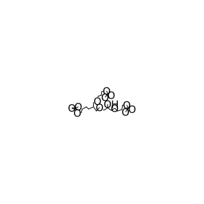 O=C1OCC(CCC(COCC(O)COCC2COC(=O)O2)COCC2COC(=O)O2)O1